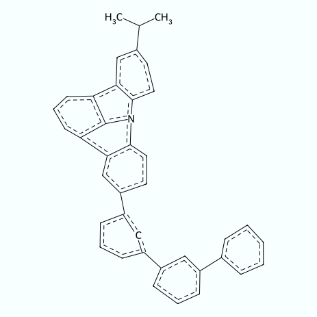 CC(C)c1ccc2c(c1)c1cccc3c4cc(-c5cccc(-c6cccc(-c7ccccc7)c6)c5)ccc4n2c31